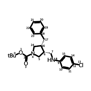 CC(C)(C)OC(=O)N1C[C@@H](CNc2ccc(Cl)cc2)[C@@H](Cc2ccccc2)C1